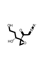 [N-]=[N+]=CC(=O)[C@]1([C@H](O)CCO)CO1